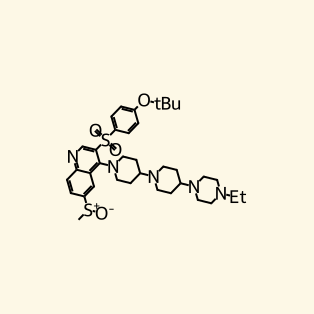 CCN1CCN(C2CCN(C3CCN(c4c(S(=O)(=O)c5ccc(OC(C)(C)C)cc5)cnc5ccc([S+](C)[O-])cc45)CC3)CC2)CC1